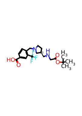 CC(C)(C)OC(=O)CNC[C@@H]1CCN(Cc2ccc(C(=O)O)cc2C(F)(F)F)C1